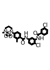 Cc1cc(N2CCCN(C)S2(=O)=O)ccc1C(=O)Nc1ccc(Cl)c(NC(=O)c2cccc(Cl)c2)c1